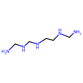 NCNCCNCNCN